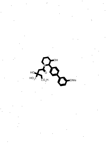 COc1cccc(-c2ccc(C3C(O)CCCN3C(=O)CC(O)(CC(=O)O)C(=O)O)cc2)c1